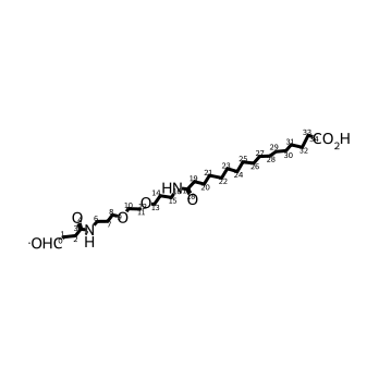 O=[C]CCC(=O)NCCCOCCOCCCNC(=O)CCCCCCCCCCCCCCCC(=O)O